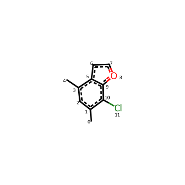 Cc1cc(C)c2ccoc2c1Cl